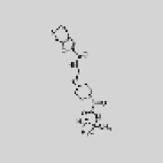 CC(C)(C)NC(=O)C(=O)N1CCC2(CC1)CC2CNC(=O)c1cc2ccncc2o1